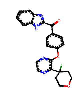 O=C(c1ccc(Oc2nccnc2C2(F)CCOCC2)cc1)c1nc2ccccc2[nH]1